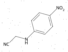 N#CCNc1ccc([N+](=O)[O-])cc1